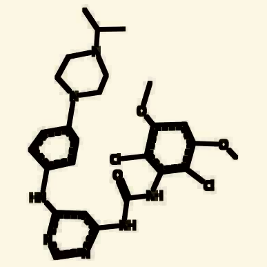 COc1cc(OC)c(Cl)c(NC(=O)Nc2cc(Nc3ccc(N4CCN(C(C)C)CC4)cc3)ncn2)c1Cl